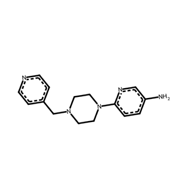 Nc1ccc(N2CCN(Cc3ccncc3)CC2)nc1